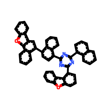 c1ccc2c(-c3nc(-c4ccc(-c5cc6c7ccccc7oc6c6ccccc56)c5ccccc45)nc(-c4cccc5oc6ccccc6c45)n3)cccc2c1